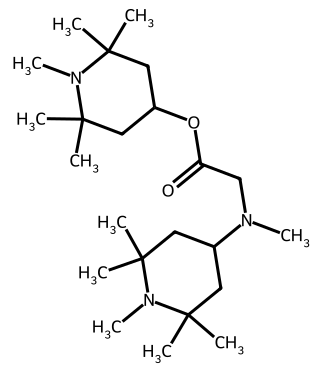 CN(CC(=O)OC1CC(C)(C)N(C)C(C)(C)C1)C1CC(C)(C)N(C)C(C)(C)C1